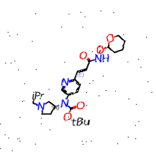 CC(C)CN1CC[C@@H](N(C(=O)OC(C)(C)C)c2ccc(/C=C/C(=O)NOC3CCCCO3)nc2)C1